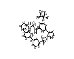 Cn1nccc1-c1cccc(NC(=O)N2c3nc(-c4cccc(C(F)(F)F)c4)ccc3N3CC[C@H]2C3)n1.O=C(O)C(F)(F)F